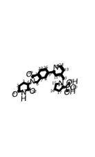 O=C1CCC(N2Cc3cc(-c4cc(CN5CCCC5P(=O)(O)O)ccn4)ccc3C2=O)C(=O)N1